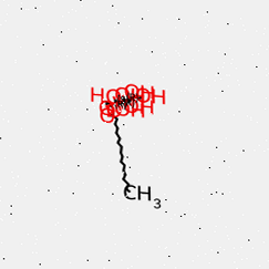 CCCCCCCCCCCCCCCCCC(=O)OC1(C(O)[C@H](O)[C@@H](O)[C@H](O)[C@H](O)CO)CO1